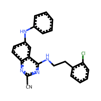 N#Cc1nc(NCCc2ccccc2Cl)c2cc(Nc3ccccc3)ccc2n1